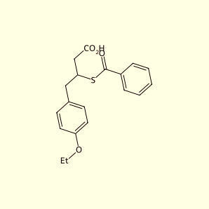 CCOc1ccc(CC(CC(=O)O)SC(=O)c2ccccc2)cc1